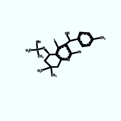 Cc1ccc(C(O)c2c(C(C)C)nc3c(c2I)[C@H](O[Si](C)(C)C(C)(C)C)CC(C)(C)C3)cc1